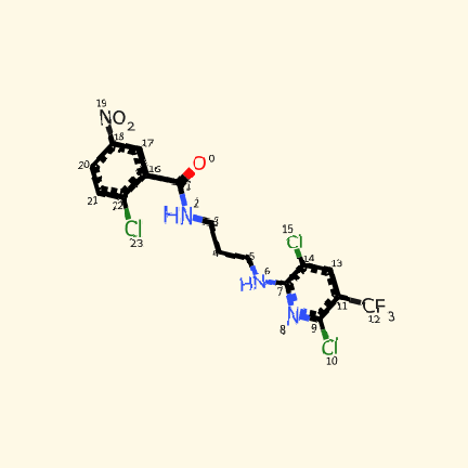 O=C(NCCCNc1nc(Cl)c(C(F)(F)F)cc1Cl)c1cc([N+](=O)[O-])ccc1Cl